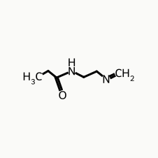 C=NCCNC(=O)CC